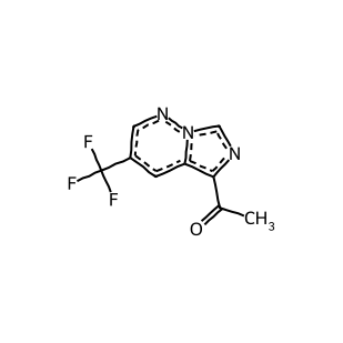 CC(=O)c1ncn2ncc(C(F)(F)F)cc12